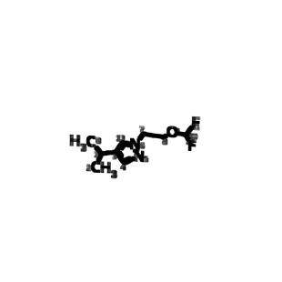 CC(C)c1cnn(CCOC(F)F)c1